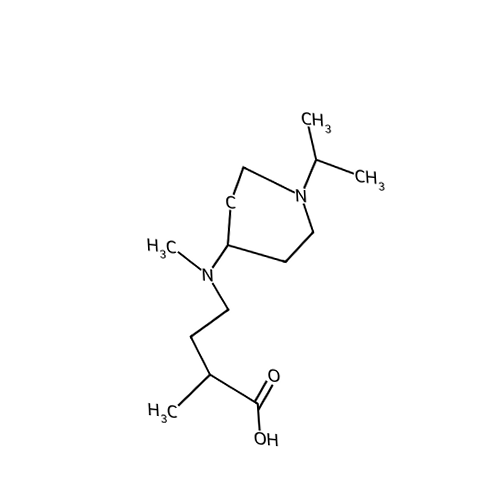 CC(CCN(C)C1CCN(C(C)C)CC1)C(=O)O